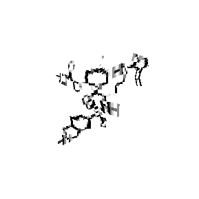 C[C@@H]1CCN(C(=O)[C@H](CCCNc2ncc[nH]2)NS(=O)(=O)c2ccc3c(c2)CNC3)[C@H](OC(=O)O)C1